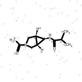 CC(=O)N1C[C@@H]2[C@H](C1)[C@H]2NC(=O)C(C)C